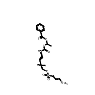 CC(=O)NCCCS(=O)(=O)OCC(C)(C)CCNC(=O)OC(C)OC(=O)c1ccccc1